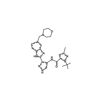 Cc1cc(C(=O)Nc2c[nH]nc2-c2nc3cc(CN4CCOCC4)ccc3[nH]2)n(C(C)(C)C)n1